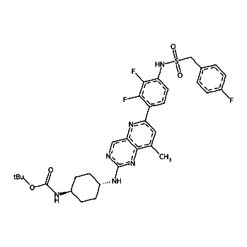 Cc1cc(-c2ccc(NS(=O)(=O)Cc3ccc(F)cc3)c(F)c2F)nc2cnc(N[C@H]3CC[C@H](NC(=O)OC(C)(C)C)CC3)nc12